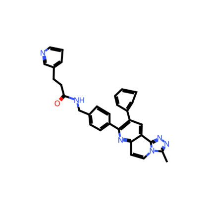 Cc1nnc2c3cc(-c4ccccc4)c(-c4ccc(CNC(=O)CCc5cccnc5)cc4)nc3ccn12